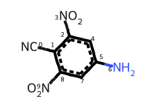 N#Cc1c([N+](=O)[O-])cc(N)cc1[N+](=O)[O-]